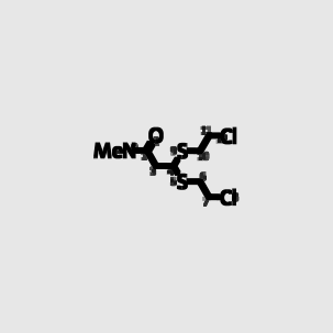 CNC(=O)CC(SCCCl)SCCCl